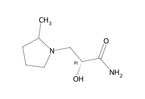 CC1CCCN1C[C@@H](O)C(N)=O